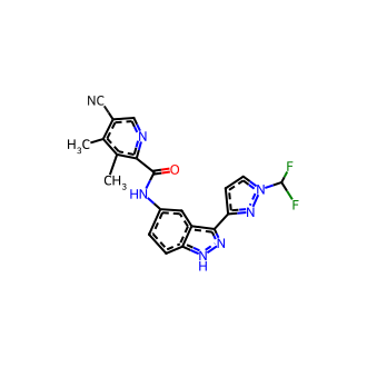 Cc1c(C#N)cnc(C(=O)Nc2ccc3[nH]nc(-c4ccn(C(F)F)n4)c3c2)c1C